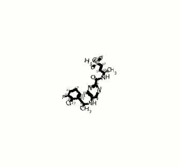 CC(Nc1cnc(C(=O)N[C@H](C)/C=C/S(C)(=O)=O)nc1)c1cccc(F)c1Cl